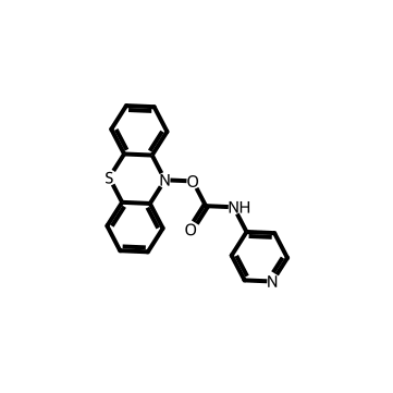 O=C(Nc1ccncc1)ON1c2ccccc2Sc2ccccc21